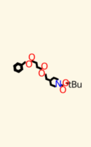 CC(C)(C)OC(=O)N1CCC(CCOC(=O)CCC(=O)OCc2ccccc2)CC1